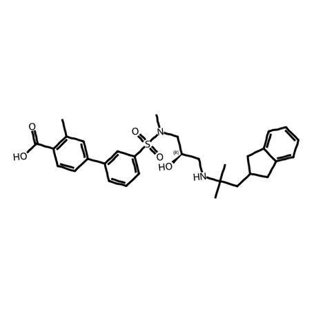 Cc1cc(-c2cccc(S(=O)(=O)N(C)C[C@H](O)CNC(C)(C)CC3Cc4ccccc4C3)c2)ccc1C(=O)O